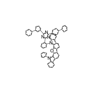 c1ccc(-c2ccc(-c3nc(-c4cccc(-c5ccccc5)c4)nc(-c4ccccc4-n4c5ccccc5c5ccc6c7ccc8c9ccccc9n(-c9ccccc9)c8c7oc6c54)n3)cc2)cc1